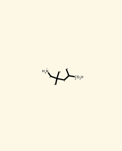 CC(CC(C)(C)CN)C(=O)O